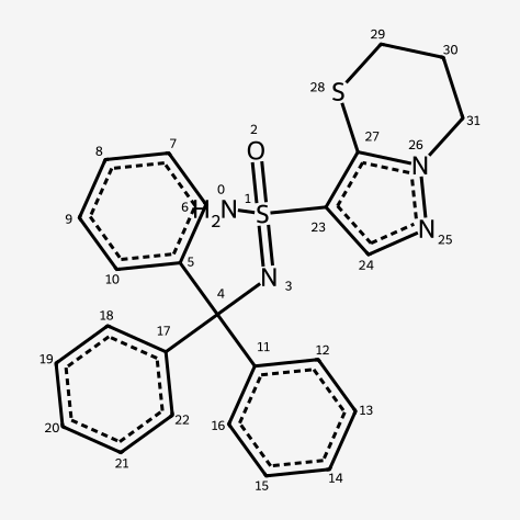 NS(=O)(=NC(c1ccccc1)(c1ccccc1)c1ccccc1)c1cnn2c1SCCC2